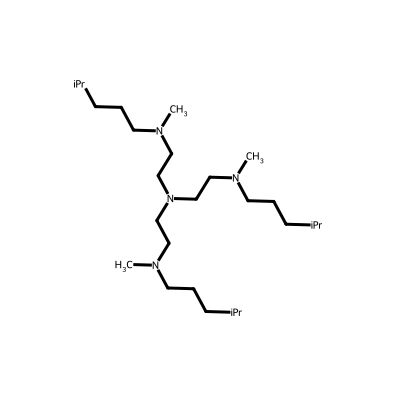 CC(C)CCCN(C)CCN(CCN(C)CCCC(C)C)CCN(C)CCCC(C)C